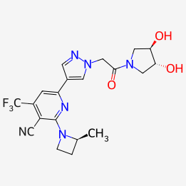 C[C@H]1CCN1c1nc(-c2cnn(CC(=O)N3C[C@@H](O)[C@H](O)C3)c2)cc(C(F)(F)F)c1C#N